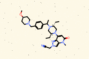 CC[C@H]1CN(C(C)c2ccc(CN3CCC(OC)CC3)cc2)[C@H](CC)CN1c1cc(=O)n(C)c2cn(CC#N)nc12